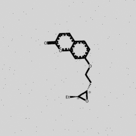 CC[C@@H]1O[C@H]1CCOc1ccc2ccc(=O)oc2c1